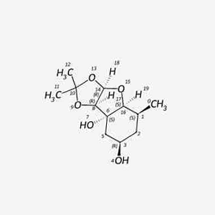 C[C@H]1C[C@@H](O)C[C@@]2(O)[C@H]3OC(C)(C)O[C@H]3O[C@@H]12